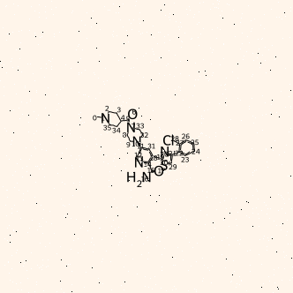 CN1CCC(C(=O)N2CCN(c3cnc(C(N)=O)c(-c4nc(-c5ccccc5Cl)cs4)c3)CC2)CC1